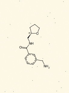 NCc1cccc(C(=O)NC[C@H]2CCCO2)c1